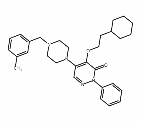 Cc1cccc(CN2CCN(c3cnn(-c4ccccc4)c(=O)c3OCCC3CCCCC3)CC2)c1